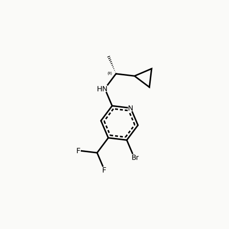 C[C@@H](Nc1cc(C(F)F)c(Br)cn1)C1CC1